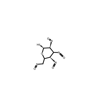 O=NCC1O[C@@H](S)[C@@H](N=O)C(N=O)[C@H]1N=O